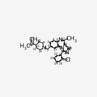 Cc1nc2ccc(CN3CCC(N(C)C)CC3)cc2n2c(-c3ccccc3Cl)nnc12